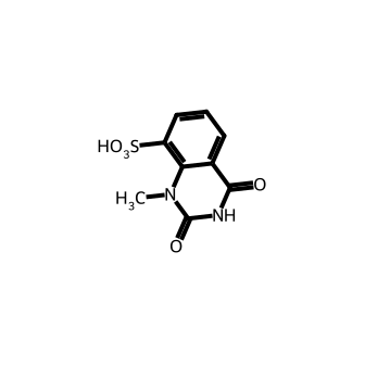 Cn1c(=O)[nH]c(=O)c2cccc(S(=O)(=O)O)c21